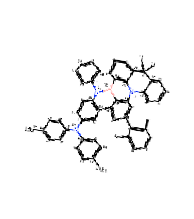 Cc1cccc(C)c1-c1cc2c3c(c1)N1c4ccccc4C(C)(C)c4cccc(c41)B3N(c1ccccc1)c1ccc(N(c3ccc(C(C)(C)C)cc3)c3ccc(C(C)(C)C)cc3)cc1-2